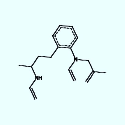 C=CNC(C)CCc1ccccc1N(C=C)CC(=C)C